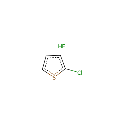 Clc1cccs1.F